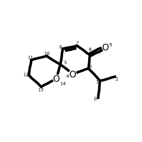 CC(C)C1OC2(C=CC1=O)CCCCO2